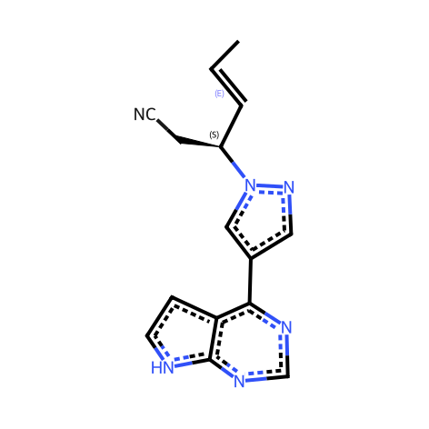 C/C=C/[C@H](CC#N)n1cc(-c2ncnc3[nH]ccc23)cn1